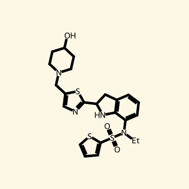 CCN(c1cccc2c1NC(c1ncc(CN3CCC(O)CC3)s1)C2)S(=O)(=O)c1cccs1